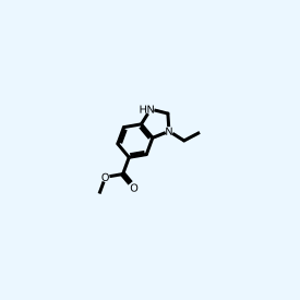 CCN1CNc2ccc(C(=O)OC)cc21